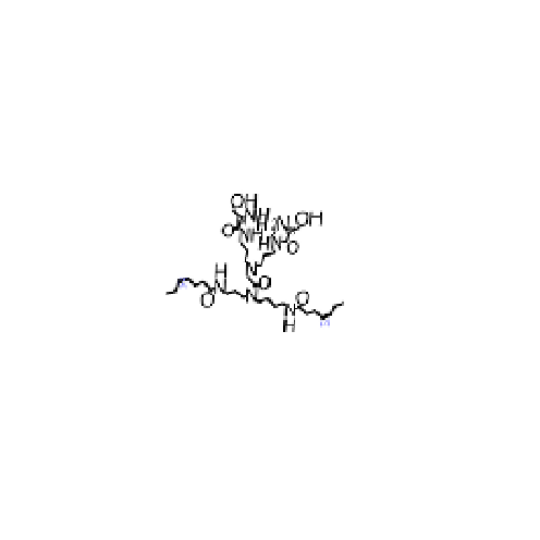 CC/C=C\CCC(=O)NCCCCN(CCCNC(=O)CC/C=C\CC)C(=O)CN(CCCNC(=O)[C@@H](N)CO)CCCNC(=O)[C@@H](N)CO